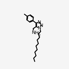 CCCCCCCCCCCn1nnc(-c2ccc(C)cc2)c1CN